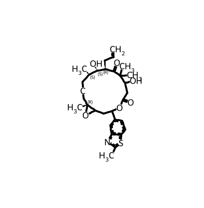 C=CC[C@H]1C(=O)C(C)(C)C(O)CC(=O)OC(c2ccc3sc(C)nc3c2)CC2O[C@]2(C)CCC[C@H](C)[C@@H]1O